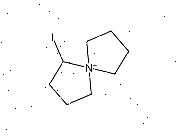 IC1CCC[N+]12CCCC2